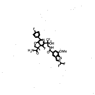 COc1cc(C(=O)NCC(O)(c2nc(-c3ccc(F)cc3)c3c(c2F)[C@](C)(C(N)=O)CO3)C(F)(F)F)cc2cn(C(F)F)nc12